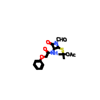 CC(=O)OC(C)(C)SC1C(NC(=O)COc2ccccc2)C(=O)N1C=O